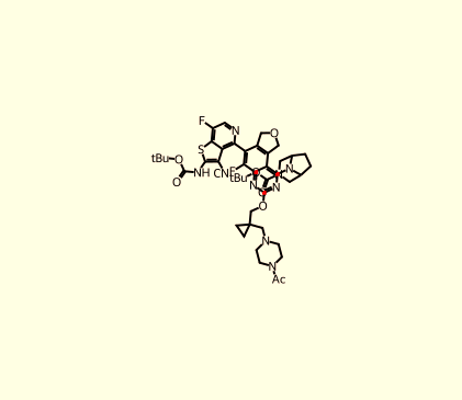 CC(=O)N1CCN(CC2(COc3nc(N4C5CCC4CN(C(=O)OC(C)(C)C)C5)c4c5c(c(-c6ncc(F)c7sc(NC(=O)OC(C)(C)C)c(C#N)c67)c(F)c4n3)COC5)CC2)CC1